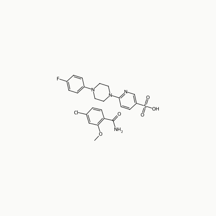 COc1cc(Cl)ccc1C(N)=O.O=S(=O)(O)c1ccc(N2CCN(c3ccc(F)cc3)CC2)nc1